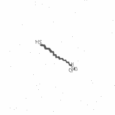 SCCCCCCCCCCCCCCCCCC[SiH](Cl)Cl